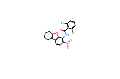 O=C(Nc1c([N+](=O)[O-])ccc2c3c(oc12)CCCC3)c1c(Cl)cccc1Cl